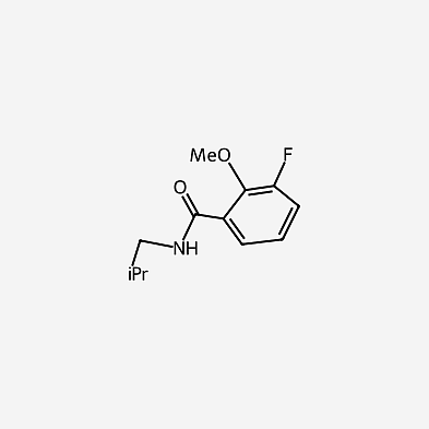 COc1c(F)cccc1C(=O)NCC(C)C